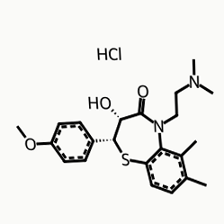 COc1ccc([C@H]2Sc3ccc(C)c(C)c3N(CCN(C)C)C(=O)[C@H]2O)cc1.Cl